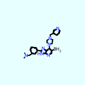 Bc1cnc2[nH]c(-c3cccc(CN(C)C)c3)nc2c1N1CCN(Cc2cccnc2)CC1